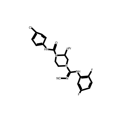 CCCC1CN(/C(=N\C#N)Nc2cc(F)ccc2F)CCN1C(=O)Nc1ccc(Cl)cc1